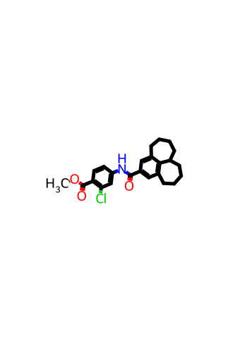 COC(=O)c1ccc(NC(=O)c2cc3c4c(c2)CCCCC4CCCC3)cc1Cl